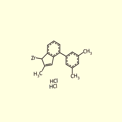 CC1=Cc2c(-c3cc(C)cc(C)c3)cccc2[CH]1[Zr].Cl.Cl